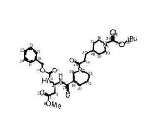 COC(=O)C[C@@H](NC(=O)OCc1ccccc1)NC(=O)[C@@H]1CCCN(C(=O)CCC2CCN(C(=O)OC(C)(C)C)CC2)C1